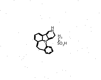 C1=CC2=CCc3ccccc3N3C4=CCNC=C4C(=C1)C23.CS(=O)(=O)O